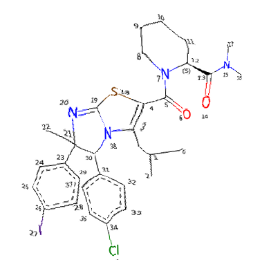 CC(C)C1=C(C(=O)N2CCCC[C@H]2C(=O)N(C)C)SC2=NC(C)(c3ccc(I)cc3)C(c3ccc(Cl)cc3)N21